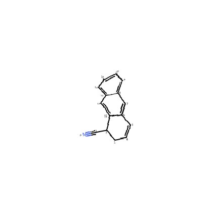 N#CC1CC=Cc2cc3ccccc3cc21